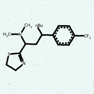 CCCCC(CC(C1=NCCS1)N(C)C)c1ccc(C(F)(F)F)cc1